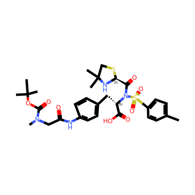 Cc1ccc(S(=O)(=O)N(C(=O)[C@H]2NC(C)(C)CS2)[C@@H](Cc2ccc(NC(=O)CN(C)C(=O)OC(C)(C)C)cc2)C(=O)O)cc1